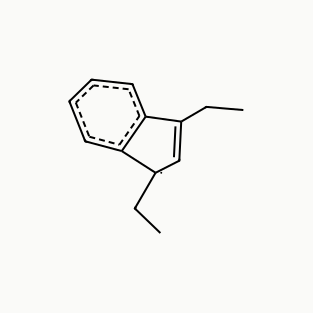 CC[C]1C=C(CC)c2ccccc21